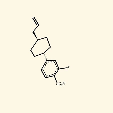 C=CC[C@H]1CC[C@H](c2ccc(C(=O)O)c(F)c2)CC1